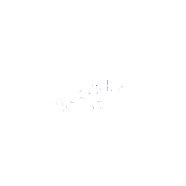 Cc1ccc(-c2c(CNC(=O)OC(C)(C)C)n(CC(C)C)c(=O)c3ccc(C=CC(=O)O)cc23)cc1